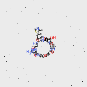 Cc1ncsc1-c1ccc([C@@H]2NC(=O)[C@@H]3C[C@@H](O)CN3C(=O)[C@H](C(C)(C)C)NC(=O)CCOCCNC(=O)[C@@H](CN)NC(=O)CNC2=O)cc1